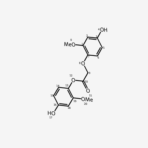 COc1cc(O)ccc1OCC(=O)Oc1ccc(O)cc1OC